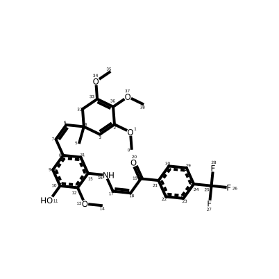 COC1=CC(C)(/C=C\c2cc(O)c(OC)c(N/C=C\C(=O)c3ccc(C(F)(F)F)cc3)c2)CC(OC)=C1OC